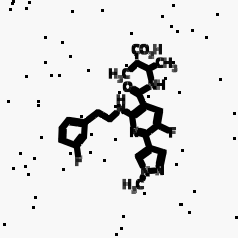 CC(NC(=O)c1cc(F)c(-c2cnn(C)c2)nc1NCCc1cccc(F)c1)[C@H](C)C(=O)O